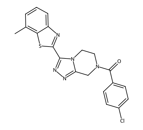 Cc1cccc2nc(-c3nnc4n3CCN(C(=O)c3ccc(Cl)cc3)C4)sc12